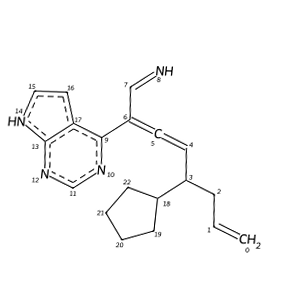 C=CCC(C=C=C(C=N)c1ncnc2[nH]ccc12)C1CCCC1